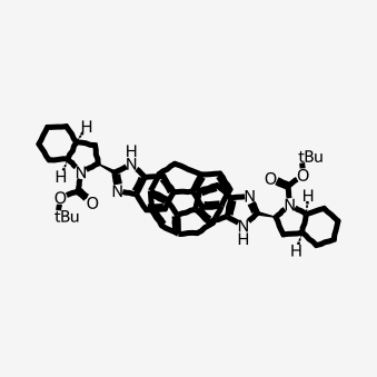 CC(C)(C)OC(=O)N1[C@H](c2nc3ccc(-c4cc5ccc4CCc4ccc(c(-c6ccc7nc([C@@H]8C[C@@H]9CCCC[C@@H]9N8C(=O)OC(C)(C)C)[nH]c7c6)c4)CC5)cc3[nH]2)C[C@@H]2CCCC[C@@H]21